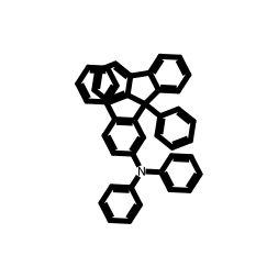 c1ccc(-c2ccc(N(c3ccccc3)c3ccccc3)cc2C2(c3ccccc3)c3ccccc3-c3ccccc32)cc1